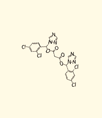 O=C(CC(=O)OC(c1ccc(Cl)cc1Cl)n1cncn1)OC(c1ccc(Cl)cc1Cl)n1cncn1